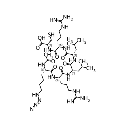 CC(=O)N[C@@H](CCCCNN=[N+]=[N-])C(=O)N[C@@H](CCCNC(=N)N)C(=O)N[C@@H](CC(C)C)C(=O)N[C@@H](CC(C)C)C(=O)N[C@@H](CCCNC(=N)N)C(=O)N[C@H](CS)C(=O)O